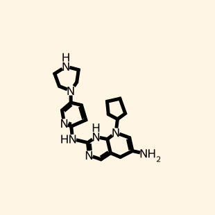 NC1=CN(C2CCCC2)C2NC(Nc3ccc(N4CCNCC4)cn3)=NC=C2C1